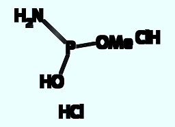 COP(N)O.Cl.Cl